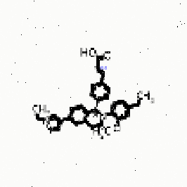 CCc1ccc(N2[C@H](c3ccc(/C=C/C(=O)O)cc3)c3ccc(-c4cnn(CC)c4)cc3C[C@H]2C)c(Cl)c1